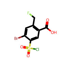 O=C(O)c1cc(S(=O)(=O)Cl)c(Br)cc1CF